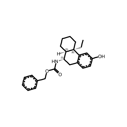 CC[C@@]12CCCC[C@@H]1[C@@H](NC(=O)OCc1ccccc1)Cc1ccc(O)cc12